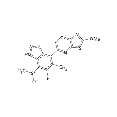 CNc1nc2ccc(-c3c(C)c(F)c([S+](C)[O-])c4[nH]ncc34)nc2s1